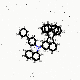 c1ccc(-c2ccc(N(c3cc4c5c(cccc5c3)C35c6ccccc6-c6ccccc6C43c3cccc4cccc5c34)c3cccc4ccccc34)cc2)cc1